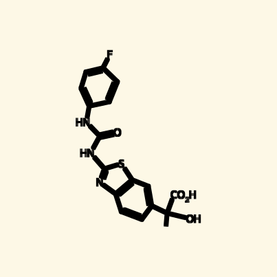 CC(O)(C(=O)O)c1ccc2nc(NC(=O)Nc3ccc(F)cc3)sc2c1